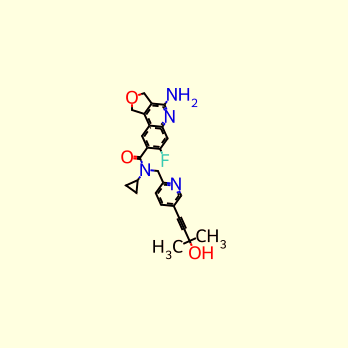 CC(C)(O)C#Cc1ccc(CN(C(=O)c2cc3c4c(c(N)nc3cc2F)COC4)C2CC2)nc1